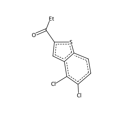 CCC(=O)c1cc2c(Cl)c(Cl)ccc2s1